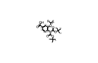 CC(C)(C)OC(=O)N(C(=O)OC(C)(C)C)c1ncc(C(=O)O)cc1OC(F)F